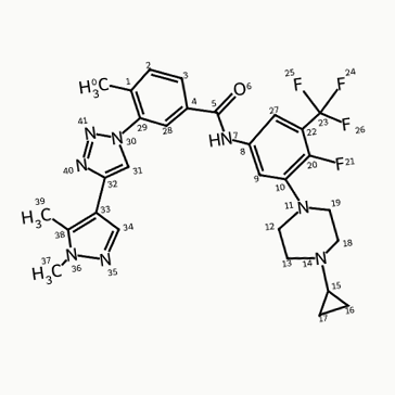 Cc1ccc(C(=O)Nc2cc(N3CCN(C4CC4)CC3)c(F)c(C(F)(F)F)c2)cc1-n1cc(-c2cnn(C)c2C)nn1